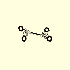 O=P(OCCCCCCOP(=O)(Oc1ccccc1)Oc1ccccc1)(Oc1ccccc1)Oc1ccccc1